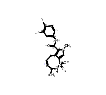 CC1/C=C\Cc2c(cn(C)c2C(=O)Nc2ccc(F)c(F)c2)S(=O)(=O)N1